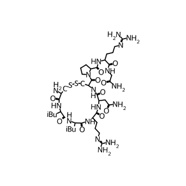 CCC(C)C1NC(=O)C(N)CSSCC(C(=O)N2CCCC2C(=O)NC(CCCN=C(N)N)C(=O)NCC(N)=O)NC(=O)C(CC(N)=O)NC(=O)C(CCCN=C(N)N)NC(=O)C(C(C)CC)NC1=O